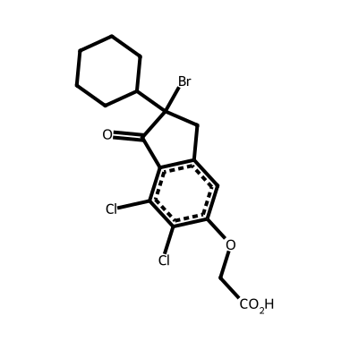 O=C(O)COc1cc2c(c(Cl)c1Cl)C(=O)C(Br)(C1CCCCC1)C2